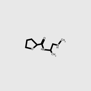 CNCC(C)NC(=O)C1CCCO1